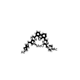 COc1nc(-c2cccc(-c3cccc(-c4cnc5c(CN6CC7(C6)CN(C(C)=O)C7)cn(C)c5n4)c3Cl)c2Cl)cnc1CN1CCN(C(C)=O)CC1